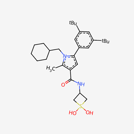 Cc1c(C(=O)NC2CS(O)(O)C2)cc(-c2cc(C(C)(C)C)cc(C(C)(C)C)c2)n1CC1CCCCC1